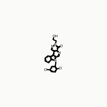 O=c1c2ncc3c(c2cnn1CCO)c1ccccc1n3Cc1cc(Cl)ccc1Cl